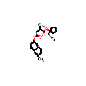 C=C(CC(=O)Oc1ccc2cc(C)ccc2c1)C(=O)OC1(CC)CCCC1